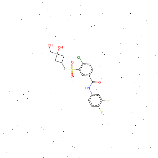 O=C(Nc1ccc(F)c(F)c1)c1ccc(Cl)c(S(=O)(=O)CC2CC(O)(CO)C2)c1